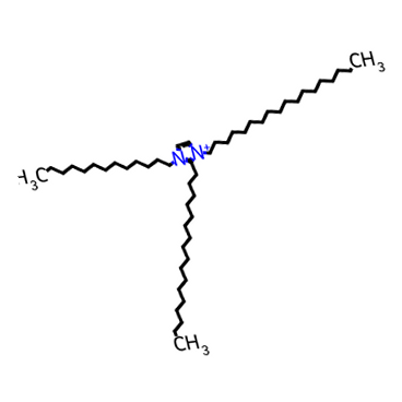 CCCCCCCCCCCCCCCCCC[n+]1ccn(CCCCCCCCCCCCC)c1CCCCCCCCCCCCCCCCC